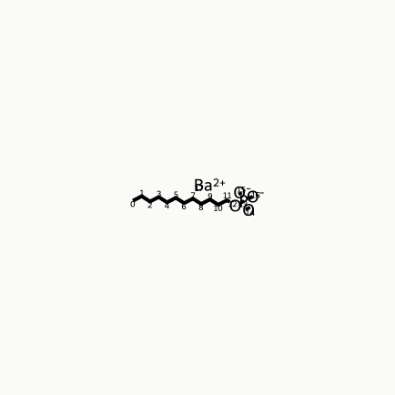 CCCCCCCCCCCCOP(=O)([O-])[O-].[Ba+2]